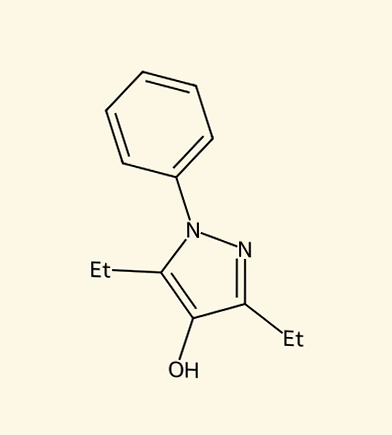 CCc1nn(-c2ccccc2)c(CC)c1O